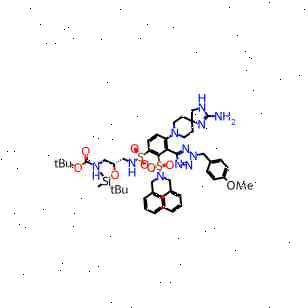 COc1ccc(Cn2nnc(-c3c(N4CCC5(CC4)CNC(N)=N5)ccc(S(=O)(=O)NC[C@@H](CNC(=O)OC(C)(C)C)O[Si](C)(C)C(C)(C)C)c3S(=O)(=O)N(Cc3ccccc3)Cc3ccccc3)n2)cc1